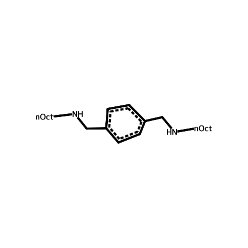 CCCCCCCCNCc1ccc(CNCCCCCCCC)cc1